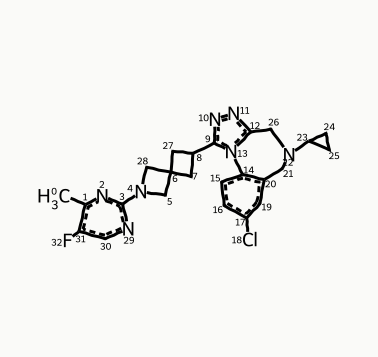 Cc1nc(N2CC3(CC(c4nnc5n4-c4ccc(Cl)cc4CN(C4CC4)C5)C3)C2)ncc1F